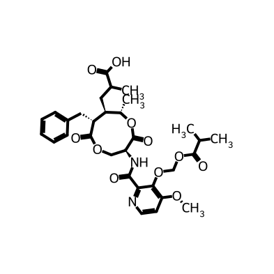 COc1ccnc(C(=O)N[C@H]2COC(=O)[C@H](Cc3ccccc3)[C@@H](CC(C)C(=O)O)[C@H](C)OC2=O)c1OCOC(=O)C(C)C